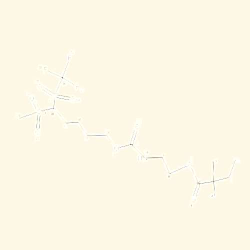 CCC(C)(C)C(=O)OCCNC(=O)OCCCCC(S(C)(=O)=O)S(=O)(=O)C(F)(F)F